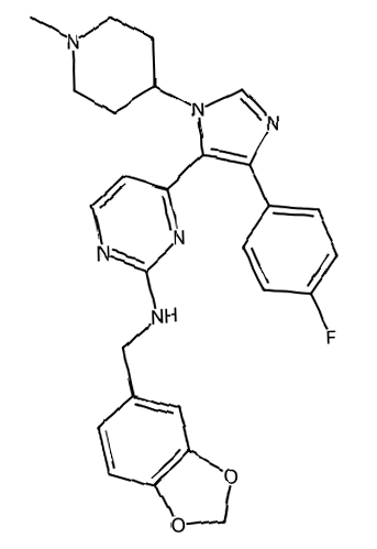 CN1CCC(n2cnc(-c3ccc(F)cc3)c2-c2ccnc(NCc3ccc4c(c3)OCO4)n2)CC1